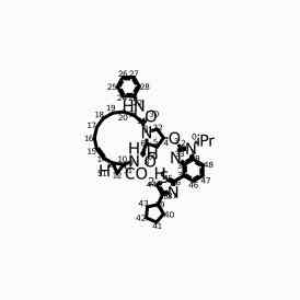 CC(C)n1c(O[C@@H]2C[C@H]3C(=O)N[C@]4(C(=O)O)C[C@H]4/C=C\CCCCC[C@H](Nc4ccccc4)C(=O)N3C2)nc2c(-c3nc(C4CCCC4)cs3)cccc21